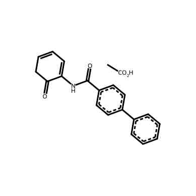 CC(=O)O.O=C1CC=CC=C1NC(=O)c1ccc(-c2ccccc2)cc1